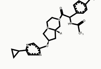 O=C(C(NC(=O)C(F)(F)F)c1ccc(C(F)(F)F)cc1)N1CCN2C[C@H](Oc3cnc(C4CC4)cn3)C[C@H]2C1